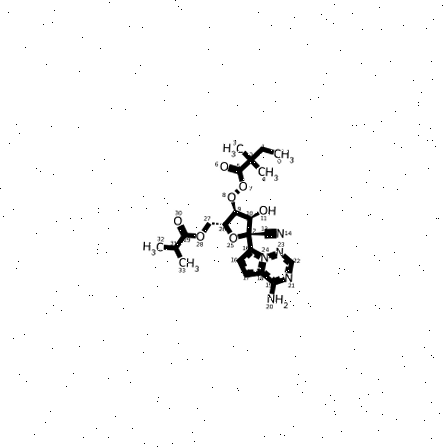 CCC(C)(C)C(=O)OO[C@H]1[C@@H](O)[C@](C#N)(c2ccc3c(N)ncnn23)O[C@@H]1COC(=O)C(C)C